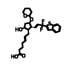 O=C(O)CCCC=CC[C@@H]1[C@@H](C=CC(F)(F)c2cc3ccccc3s2)[C@H](OC2CCCCO2)C[C@@H]1O